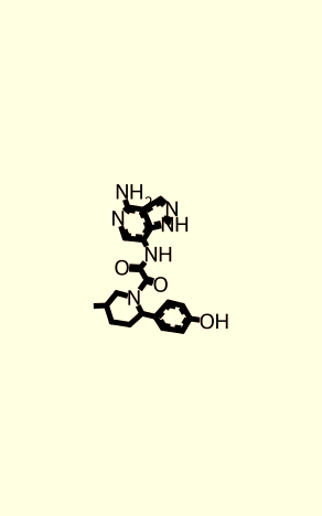 CC1CCC(c2ccc(O)cc2)N(C(=O)C(=O)Nc2cnc(N)c3cn[nH]c23)C1